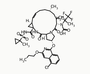 CCCOc1cc2c(Cl)cccc2c(O[C@@H]2C[C@H]3C(=O)N[C@]4(C(=O)NS(=O)(=O)C5(C)CC5)C[C@H]4C=CCC[C@H](C)C[C@@H](C)[C@H](N(C(=O)O)C(C)(C)C(F)(F)F)C(=O)N3C2)n1